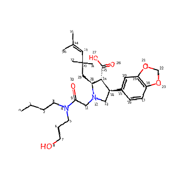 CCCCN(CCCO)C(=O)CN1C[C@H](c2ccc3c(c2)OCO3)[C@@H](C(=O)O)[C@@H]1CC(C)(C)C=C(C)C